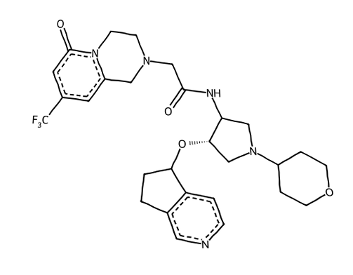 O=C(CN1CCn2c(cc(C(F)(F)F)cc2=O)C1)NC1CN(C2CCOCC2)C[C@@H]1OC1CCc2cnccc21